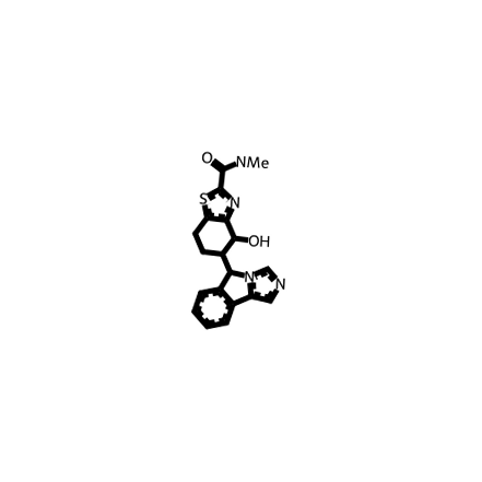 CNC(=O)c1nc2c(s1)CCC(C1c3ccccc3-c3cncn31)C2O